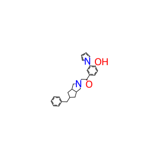 O=C(CN1CC2CC(Cc3ccccc3)CC2C1)c1ccc(O)c(-n2cccc2)c1